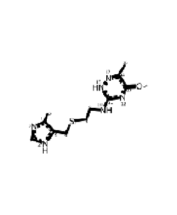 Cc1nc[nH]c1CSCCNc1nc(=O)c(C)n[nH]1